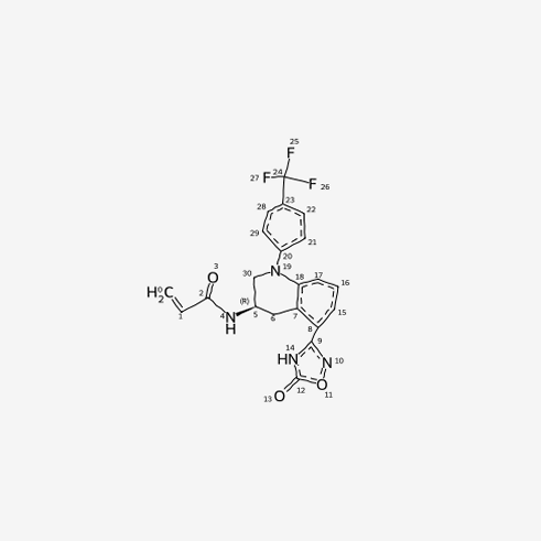 C=CC(=O)N[C@@H]1Cc2c(-c3noc(=O)[nH]3)cccc2N(c2ccc(C(F)(F)F)cc2)C1